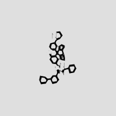 c1ccc(-c2cccc(-c3nc(-c4ccccc4)nc(-c4ccc5c(c4)C4(c6cc(-c7ccccn7)ccc6O5)c5ccccc5-c5ccccc54)n3)c2)cc1